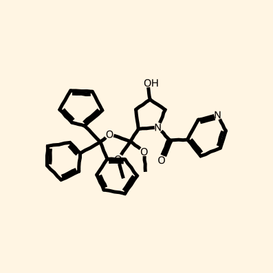 COC(OC)(OC(c1ccccc1)(c1ccccc1)c1ccccc1)C1CC(O)CN1C(=O)c1cccnc1